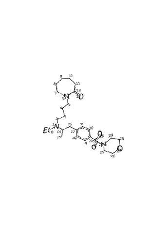 CCN(CCCCN1CCCCCC1=O)C(C)Cc1ccc(S(=O)(=O)N2CCOCC2)cc1